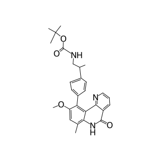 COc1cc(C)c2[nH]c(=O)c3cccnc3c2c1-c1ccc(C(C)CNC(=O)OC(C)(C)C)cc1